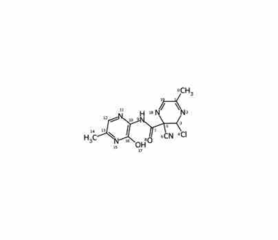 CC1=NC(Cl)C(C#N)(C(=O)Nc2ncc(C)nc2O)N=C1